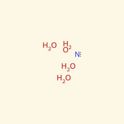 O.O.O.O.[N]